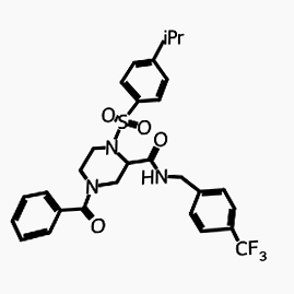 CC(C)c1ccc(S(=O)(=O)N2CCN(C(=O)c3ccccc3)CC2C(=O)NCc2ccc(C(F)(F)F)cc2)cc1